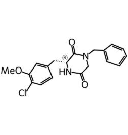 COc1cc(C[C@H]2NC(=O)CN(Cc3ccccc3)C2=O)ccc1Cl